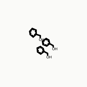 OCc1ccccc1.OCc1ccccc1.OCc1ccccc1